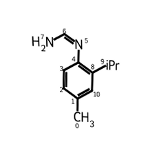 Cc1ccc(/N=C\N)c(C(C)C)c1